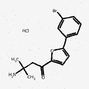 CC(C)(N)CC(=O)c1ccc(-c2cccc(Br)c2)o1.Cl